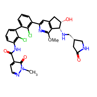 COc1nc(-c2cccc(-c3cccc(NC(=O)c4ccnn(C)c4=O)c3Cl)c2Cl)cc2c1[C@@H](NC[C@@H]1CNC(=O)C1)[C@@H](O)C2